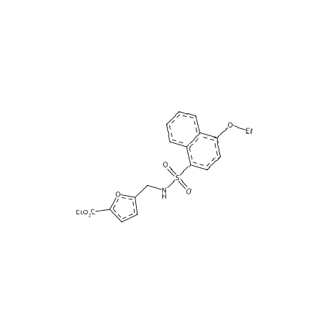 CCOC(=O)c1ccc(CNS(=O)(=O)c2ccc(OCC)c3ccccc23)o1